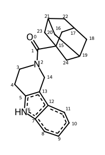 O=C(N1CCc2[nH]c3ccccc3c2C1)C12CC3CC(CC(C3)C1)C2